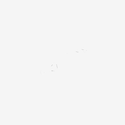 CCc1ccc([C@H]2CC[C@H](CCC=CC=O)CC2)cc1